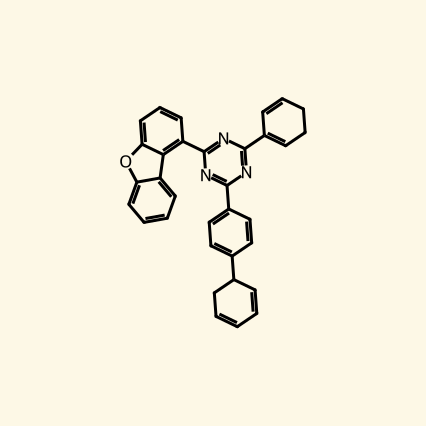 C1=CCC(c2ccc(-c3nc(C4=CCCC=C4)nc(-c4cccc5oc6ccccc6c45)n3)cc2)C=C1